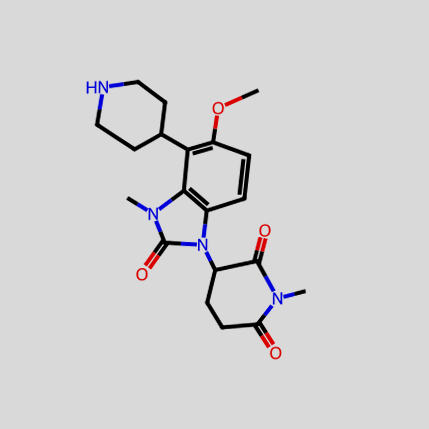 COc1ccc2c(c1C1CCNCC1)n(C)c(=O)n2C1CCC(=O)N(C)C1=O